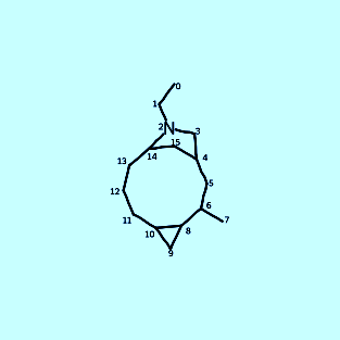 CCN1CC2CC(C)C3CC3CCCC1C2